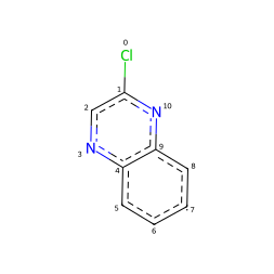 Clc1cnc2cc[c]cc2n1